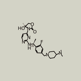 C[C@H](Nc1nccc(N2C(=O)OC[C@]2(C)O)n1)c1ccc(CN2CCC(N(C)C)CC2)cc1F